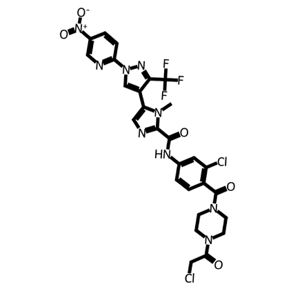 Cn1c(-c2cn(-c3ccc([N+](=O)[O-])cn3)nc2C(F)(F)F)cnc1C(=O)Nc1ccc(C(=O)N2CCN(C(=O)CCl)CC2)c(Cl)c1